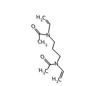 C=CN(CCCN(C=C)C(C)=O)C(C)=O